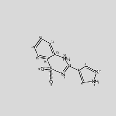 O=S1(=O)N=C(c2cn[nH]c2)Nc2ccccc21